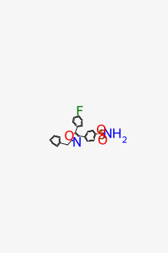 NS(=O)(=O)c1ccc(-c2nc(Cc3ccccc3)oc2-c2ccc(F)cc2)cc1